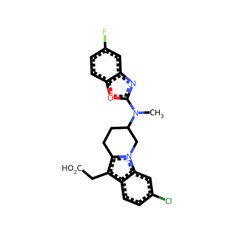 CN(c1nc2cc(F)ccc2o1)C1CCc2c(CC(=O)O)c3ccc(Cl)cc3n2C1